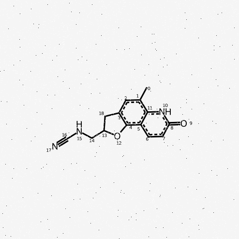 Cc1cc2c(c3ccc(=O)[nH]c13)OC(CNC#N)C2